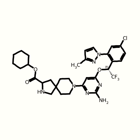 Cc1ccn(-c2cc(Cl)ccc2[C@@H](Oc2cc(N3CCC4(CC3)CNC(C(=O)OC3CCCCC3)C4)nc(N)n2)C(F)(F)F)n1